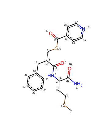 CSCC[C@H](NC(=O)[C@@H](CSC(=O)c1ccncc1)Cc1ccccc1)C(N)=O